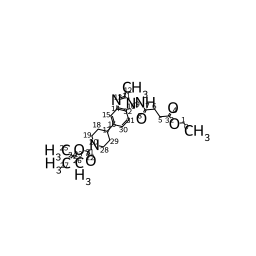 CCOC(=O)CCC(=O)Nn1c(C)nc2cc(C3CCN(C(=O)OC(C)(C)C)CC3)ccc21